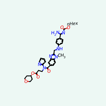 CCCCCCOC(=O)/N=C(\N)c1ccc(NCc2nc3cc(C(=O)N(CCC(=O)OC4CCOCC4)c4ccccn4)ccc3n2C)cc1